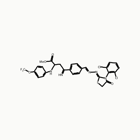 COC(=O)C(CC(=N)c1ccc(/C=N/N=C2\SCC(=O)N2c2c(Cl)cccc2Cl)cc1)Nc1ccc(OC(F)(F)F)cc1